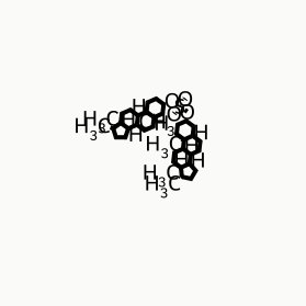 CC1CC[C@H]2[C@H]3CC[C@@H]4C[C@H](OS(=O)(=O)O[C@@H]5CC[C@@]6(C)[C@H](CC[C@H]7[C@@H]6CC[C@@]6(C)C(C)CC[C@@H]76)C5)CC[C@]4(C)[C@H]3CC[C@@]12C